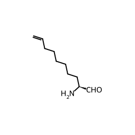 C=CCCCCCC[C@H](N)C=O